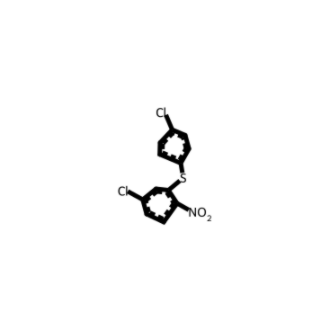 O=[N+]([O-])c1ccc(Cl)cc1Sc1ccc(Cl)cc1